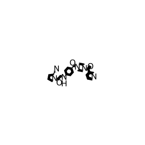 N#C[C@@H]1CCCN1C(=O)CN[C@H]1CC[C@H](C(=O)N2CCN(C(=O)c3cccnc3)CC2)CC1